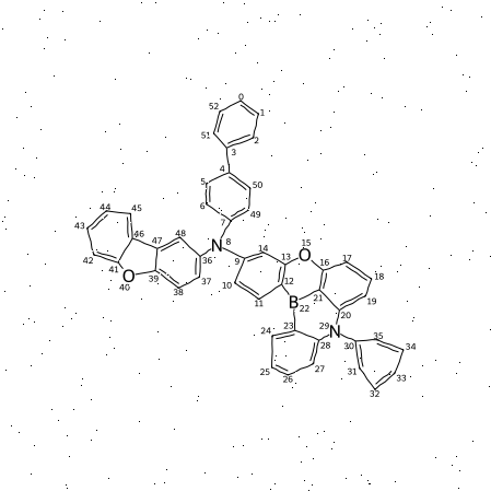 c1ccc(-c2ccc(N(c3ccc4c(c3)Oc3cccc5c3B4c3ccccc3N5c3ccccc3)c3ccc4oc5ccccc5c4c3)cc2)cc1